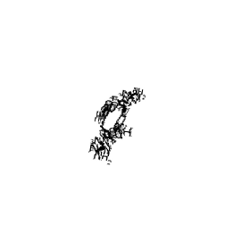 Nc1ncnc2c1ncn2C1OC2CNS(=O)(=O)OC3C(CO[P@](=O)(S)OC2C1F)OC(n1cnc2c(N)ncnc21)C3F